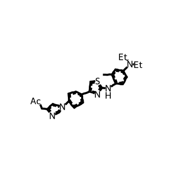 CCN(CC)c1ccc(Nc2nc(-c3ccc(-n4cnc(CC(C)=O)c4)cc3)cs2)c(C)c1